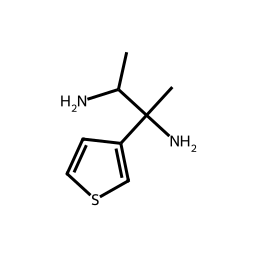 CC(N)C(C)(N)c1ccsc1